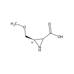 COC[C@@H]1NC1C(=O)O